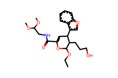 CCOC1OC(C(=O)NCC(OC)OC)=CC(c2coc3ccccc23)C1CCCO